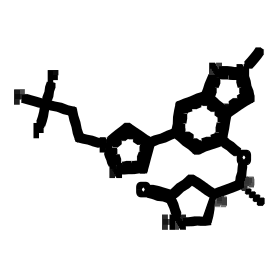 C[C@@H](Oc1cc(-c2cnn(CCC(F)(F)F)c2)cc2nn(C)cc12)[C@H]1CNC(=O)C1